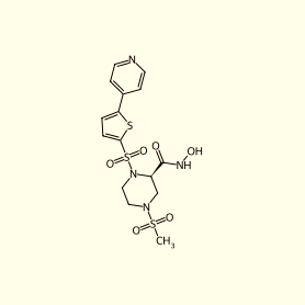 CS(=O)(=O)N1CCN(S(=O)(=O)c2ccc(-c3ccncc3)s2)[C@@H](C(=O)NO)C1